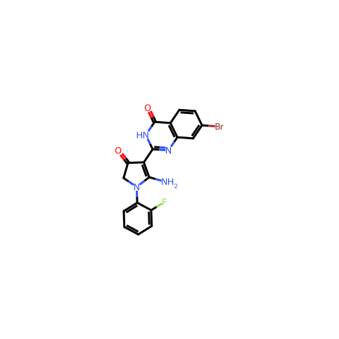 NC1=C(c2nc3cc(Br)ccc3c(=O)[nH]2)C(=O)CN1c1ccccc1F